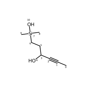 CC#CC(O)CC[Si](C)(C)O